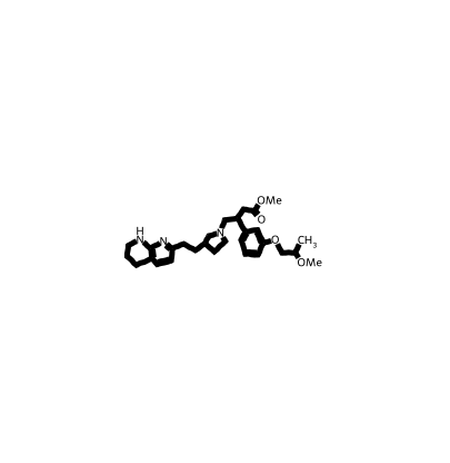 COC(=O)CC(CN1CCC(CCc2ccc3c(n2)NCCC3)C1)c1cccc(OCC(C)OC)c1